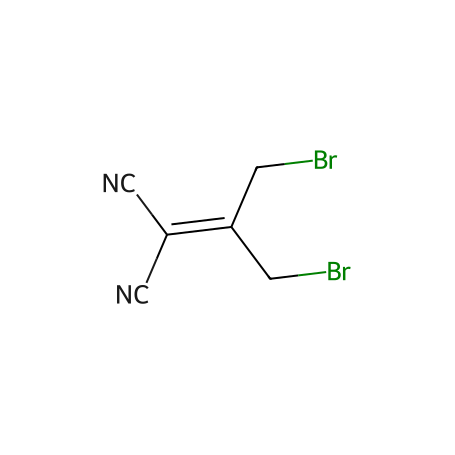 N#CC(C#N)=C(CBr)CBr